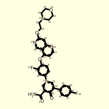 NC(=O)c1cn(-c2ccc(Oc3ccnc4cc(OCCN5CCOCC5)ncc34)c(F)c2)cc(-c2ccc(F)cc2)c1=O